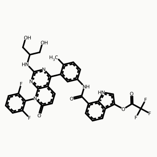 Cc1ccc(NC(=O)c2cccc3c(OC(=O)C(F)(F)F)c[nH]c23)cc1-c1nc(NC(CO)CO)nc2c1ccc(=O)n2-c1c(F)cccc1F